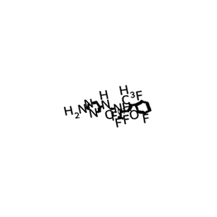 Cc1c([C@@H](NC(=O)Nc2cnc(N)nc2)C(F)(F)F)oc2c(F)ccc(F)c12